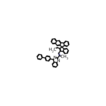 C=CC1=C(/C=C(\C)c2nc(-c3ccc(-c4ccccc4)cc3)c3ccccc3n2)c2ccccc2C12c1ccccc1-c1cc3ccccc3cc12